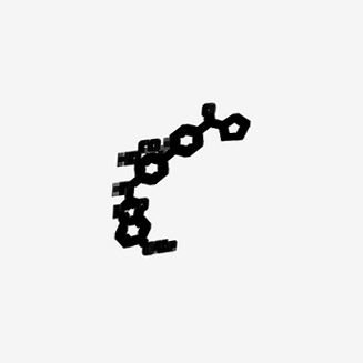 COc1ccc2nc(Nc3ccc(-c4ccc(C(=O)C5CCCC5)cc4)cc3)oc2c1.O=C(O)O